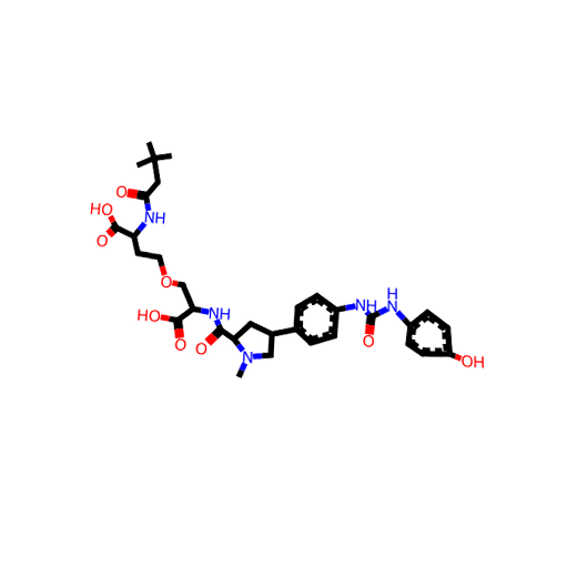 CN1CC(c2ccc(NC(=O)Nc3ccc(O)cc3)cc2)CC1C(=O)NC(COCCC(NC(=O)CC(C)(C)C)C(=O)O)C(=O)O